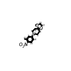 Cc1cc(N2CCC3(CC2)OCCO3)ccc1[N+](=O)[O-]